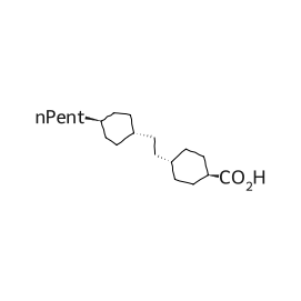 CCCCC[C@H]1CC[C@H](CC[C@H]2CC[C@H](C(=O)O)CC2)CC1